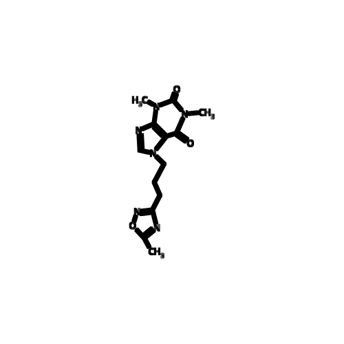 Cc1nc(CCCn2cnc3c2c(=O)n(C)c(=O)n3C)no1